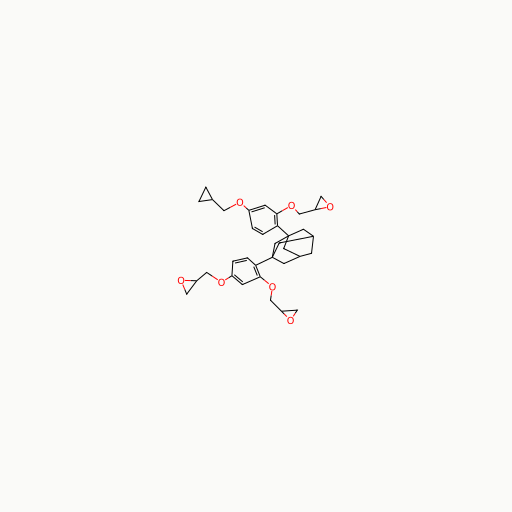 c1cc(C23CC4CC(C2)CC(c2ccc(OCC5CO5)cc2OCC2CO2)(C4)C3)c(OCC2CO2)cc1OCC1CC1